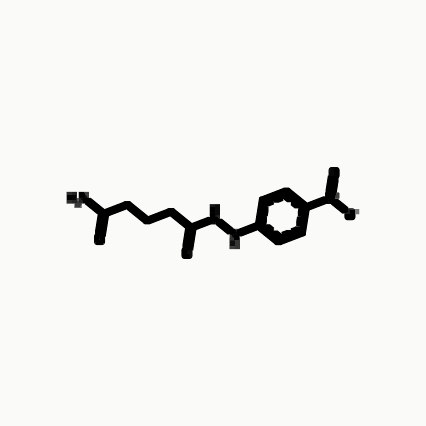 NC(=O)CCCC(=O)NNc1ccc([N+](=O)[O-])cc1